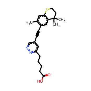 Cc1cc2c(cc1C#Cc1cnnc(CCCCC(=O)O)c1)C(C)(C)CCS2